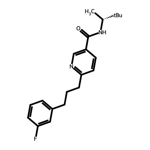 C[C@@H](NC(=O)c1ccc(CCCc2cccc(F)c2)nc1)C(C)(C)C